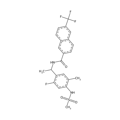 Cc1cc(C(C)NC(=O)c2ccc3cc(C(F)(F)F)ccc3c2)c(F)cc1NS(C)(=O)=O